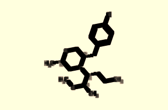 CCC[C@H]([C@@H](C)OC)N1C[C@H](C)OC[C@@H]1Cc1ccc(Cl)cc1